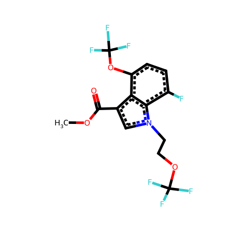 COC(=O)c1cn(CCOC(F)(F)F)c2c(F)ccc(OC(F)(F)F)c12